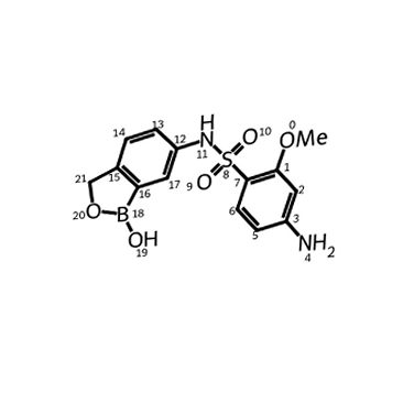 COc1cc(N)ccc1S(=O)(=O)Nc1ccc2c(c1)B(O)OC2